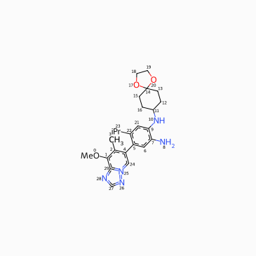 COc1c(C)c(-c2cc(N)c(NC3CCC4(CC3)OCCO4)cc2C(C)C)cn2ncnc12